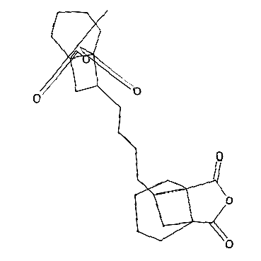 O=C1OC(=O)C23CCCCC12CC3CCCCC1CC23CCCCC12C(=O)OC3=O